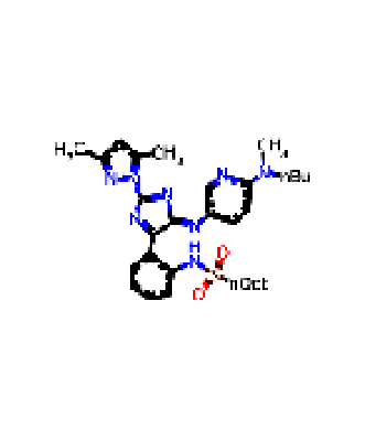 CCCCCCCCS(=O)(=O)Nc1ccccc1C1=NC(n2nc(C)cc2C)=N/C1=N\c1ccc(N(C)CCCC)nc1